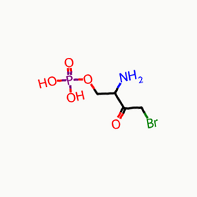 NC(COP(=O)(O)O)C(=O)CBr